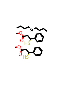 CCC[CH2][Sn][CH2]CCC.COC(=O)CC(S)c1ccccc1.COC(=O)CC(S)c1ccccc1